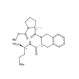 CSCC[C@H](NC(=O)[C@H]1Cc2ccccc2CN1C(=O)[C@]1(C)CCCN1C(=O)OC(C)(C)C)C(=O)O